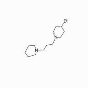 [CH2]CC1CCN(CCCN2CCCCC2)CC1